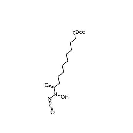 CCCCCCCCCCCCCCCCCCCC(=O)N(O)N=C=O